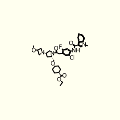 CCOC(=O)[C@H]1CC[C@H](OC[C@@H]2C[C@H](N3CC(OC)C3)CN2C(=O)Cc2cc(Cl)c(NC(=O)c3cn(C)c4ccccc34)cc2F)CC1